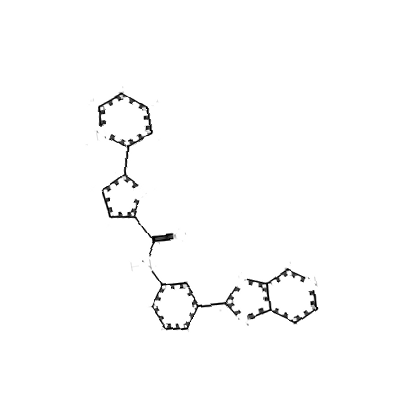 O=C(Nc1cccc(-c2nc3ccncc3s2)c1)c1ccc(-c2ccccn2)s1